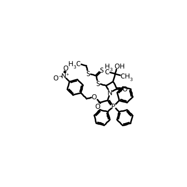 CCSC(=S)SC1C(C(C)(C)O)C(=O)N1C(C(=O)OCc1ccc([N+](=O)[O-])cc1)=P(c1ccccc1)(c1ccccc1)c1ccccc1